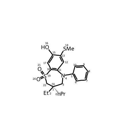 CCC[C@@]1(CC)CN(c2ccccc2)c2cc(SC)c(O)cc2S(=O)(=O)C1